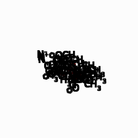 CCC1O[C@@H](O[C@H]2C(COC(=O)c3ccccc3)O[C@@H](O[C@@H]3C(CC)O[C@@H](OCCCN=[N+]=[N-])C(OC(=O)c4ccccc4)[C@H]3C)C(OC(=O)c3ccccc3)[C@H]2O[C@@H]2OC(CC)[C@@H](O[C@@H]3OC(COC(=O)c4ccccc4)[C@H](OC(=O)c4ccccc4)[C@H](O[C@]4(C(=O)OC)C[C@@H](OC(C)=O)[C@@H](C)C([C@H](OC(C)=O)[C@@H](CC)OC(C)=O)O4)C3OC(=O)c3ccccc3)[C@@H](C)C2C)C(OC(C)=O)[C@@H](C)[C@@H]1C